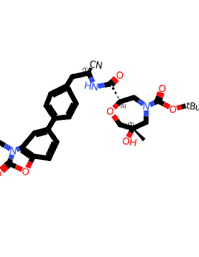 Cn1c(=O)oc2ccc(-c3ccc(C[C@@H](C#N)NC(=O)[C@@H]4CN(C(=O)OC(C)(C)C)C[C@](C)(O)CO4)cc3)cc21